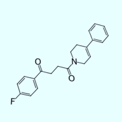 O=C(CCC(=O)N1CC=C(c2ccccc2)CC1)c1ccc(F)cc1